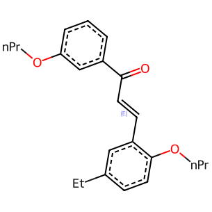 CCCOc1cccc(C(=O)/C=C/c2cc(CC)ccc2OCCC)c1